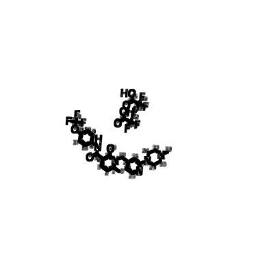 Cc1ccc(C(=O)Nc2ccc(OC(F)(F)F)cc2)c(=O)n1Cc1ccnc(N2CCN(C)CC2)c1.O=C(O)C(F)(F)F.O=C(O)C(F)(F)F